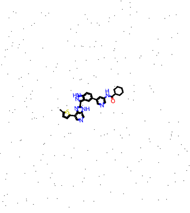 Cc1ccc(-c2cncc3[nH]c(-c4n[nH]c5ccc(-c6cncc(NC(=O)C7CCCCC7)c6)cc45)nc23)s1